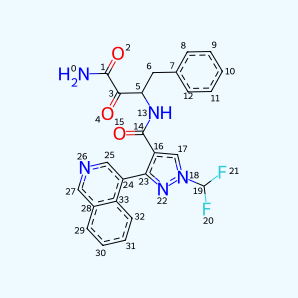 NC(=O)C(=O)C(Cc1ccccc1)NC(=O)c1cn(C(F)F)nc1-c1cncc2ccccc12